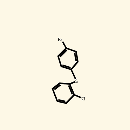 Clc1ccc[c]c1Sc1ccc(Br)cc1